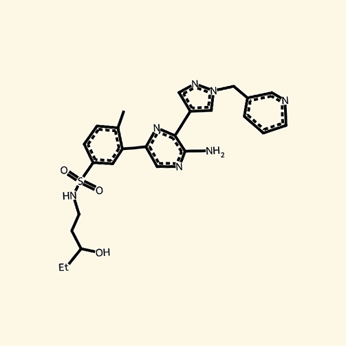 CCC(O)CCNS(=O)(=O)c1ccc(C)c(-c2cnc(N)c(-c3cnn(Cc4cccnc4)c3)n2)c1